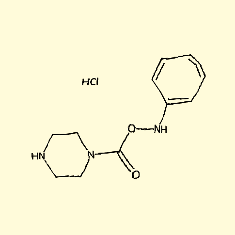 Cl.O=C(ONc1ccccc1)N1CCNCC1